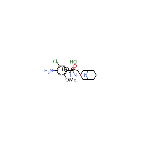 COc1cc(N)c(Cl)cc1C(=O)NC1CC2CCCC(C1)N2CCC(=O)O.Cl